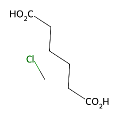 CCl.O=C(O)CCCCC(=O)O